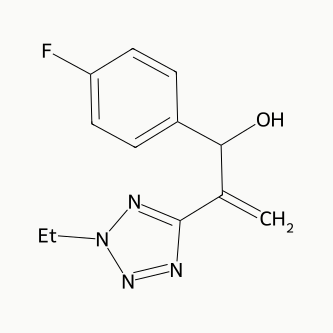 C=C(c1nnn(CC)n1)C(O)c1ccc(F)cc1